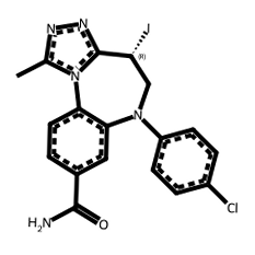 Cc1nnc2n1-c1ccc(C(N)=O)cc1N(c1ccc(Cl)cc1)C[C@H]2I